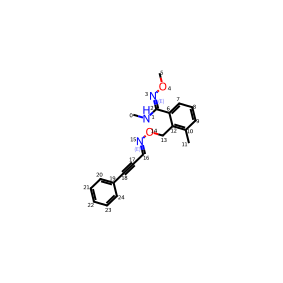 CN/C(=N/OC)c1cccc(C)c1CO/N=C/C#Cc1ccccc1